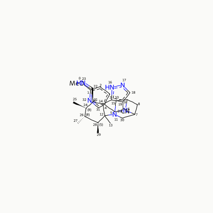 COc1ccc(CN2C3CC2CN(C2(C)C(c4[nH]ncc4C#N)[C@H](C=N)[C@H](C)[C@@H](C)[C@@H]2C)C3)cn1